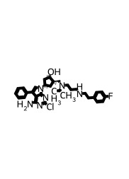 CC(C)N(CCCNCCc1ccc(F)cc1)C[C@H]1C[C@@H](n2cc(-c3ccccc3)c3c(N)nc(Cl)nc32)C[C@@H]1O